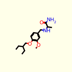 CCC(CC)COc1ccc(CNC(C)C(N)=O)cc1OC